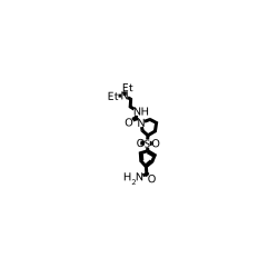 CCN(CC)CCNC(=O)N1CCCC(S(=O)(=O)c2ccc(C(N)=O)cc2)C1